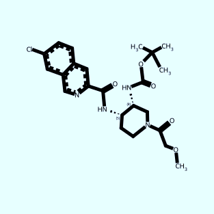 COCC(=O)N1CC[C@H](NC(=O)c2cc3ccc(Cl)cc3cn2)[C@H](NC(=O)OC(C)(C)C)C1